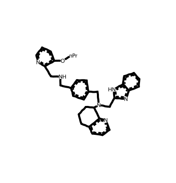 CCCOc1cccnc1CNCc1ccc(CN(Cc2nc3ccccc3[nH]2)C2CCCc3cccnc32)cc1